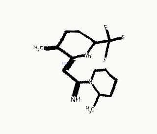 C=C1CCC(C(F)(F)F)N/C1=C\C(=N)N1CCCCC1C